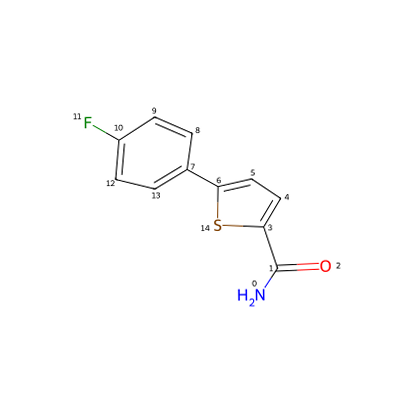 NC(=O)c1ccc(-c2ccc(F)cc2)s1